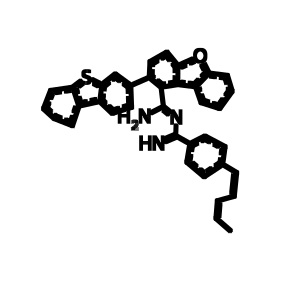 C/C=C\C=C/c1ccc(C(=N)/N=C(\N)c2c(-c3ccc4c(c3)sc3ccccc34)ccc3oc4ccccc4c23)cc1